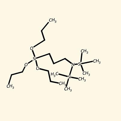 CCCO[Si](CCCN([Si](C)(C)C)[Si](C)(C)C)(OCCC)OCCC